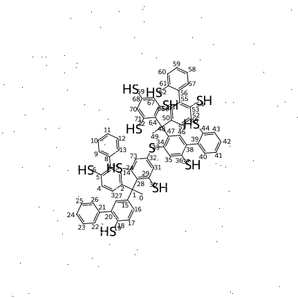 CC(c1ccc(S)c(-c2ccccc2)c1)(c1ccc(S)c(-c2ccccc2)c1)c1c(S)cc(Sc2cc(S)c(-c3ccccc3S)cc2C(C)(c2ccc(S)c(-c3ccccc3S)c2)c2c(S)cc(S)cc2S)cc1S